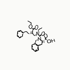 CCOC(=O)[C@@H](CCc1ccccc1)CN(CC)C(=O)N1Cc2ccccc2C[C@H]1C(=O)O